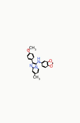 COc1ccc(-c2nc3cc(C)ccn3c2Nc2ccc3c(c2)OCO3)cc1